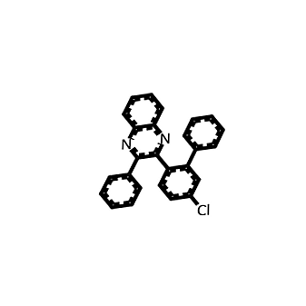 Clc1ccc(-c2nc3ccccc3nc2-c2ccccc2)c(-c2ccccc2)c1